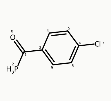 O=C(P)c1ccc(Cl)cc1